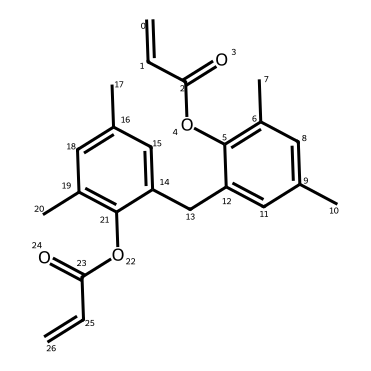 C=CC(=O)Oc1c(C)cc(C)cc1Cc1cc(C)cc(C)c1OC(=O)C=C